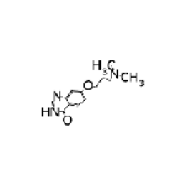 CN(C)CCCOc1ccc2c(=O)[nH]cnc2c1